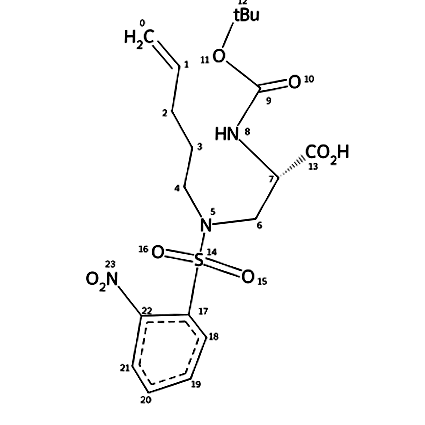 C=CCCCN(C[C@H](NC(=O)OC(C)(C)C)C(=O)O)S(=O)(=O)c1ccccc1[N+](=O)[O-]